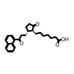 O=C(O)CCCCCC[C@@H]1C(=O)CC[C@H]1CCC(=O)c1cccc2ccccc12